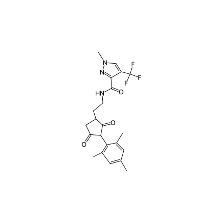 Cc1cc(C)c(C2C(=O)CC(CCNC(=O)c3nn(C)cc3C(F)(F)F)C2=O)c(C)c1